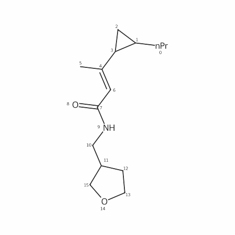 CCCC1CC1/C(C)=C/C(=O)NCC1CCOC1